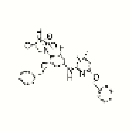 Cc1cc(OCc2ccccc2)nc(Nc2cc(F)c(N3CC(=O)NS3(=O)=O)c(OCc3ccccc3)c2)n1